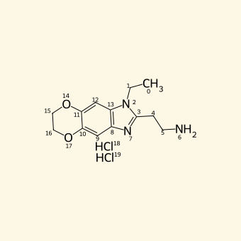 CCn1c(CCN)nc2cc3c(cc21)OCCO3.Cl.Cl